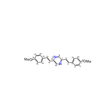 COc1ccc(/C=C/c2cnc(/C=C/c3ccc(OC)cc3)cn2)cc1